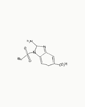 CCC(C)S(=O)(=O)N1C2=CCC(C(=O)O)=CC2=NC1N